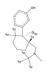 [2H]O[C@@]1(c2cccc(O)c2)C([2H])([2H])CCC[C@@]1([2H])CN(C)C([2H])([2H])[2H]